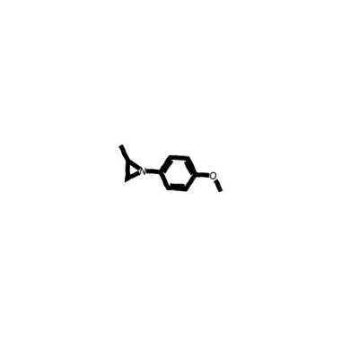 COc1ccc(N2CC2C)cc1